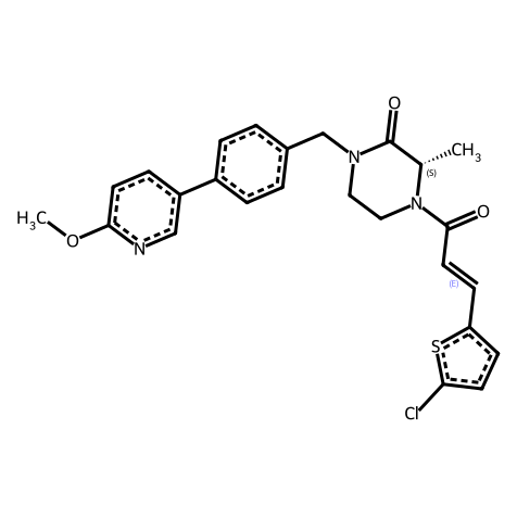 COc1ccc(-c2ccc(CN3CCN(C(=O)/C=C/c4ccc(Cl)s4)[C@@H](C)C3=O)cc2)cn1